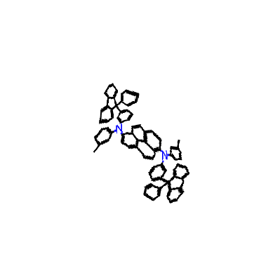 Cc1cccc(N(C2=CC=C3C=Cc4c(N(c5cccc(C)c5)c5cccc(C6(c7ccccc7)c7ccccc7-c7ccccc76)c5)ccc5c4C3C2C=C5)c2cccc(C3(c4ccccc4)c4ccccc4-c4ccccc43)c2)c1